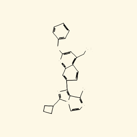 NCc1cc(Oc2ccccc2)nc2cc(-c3nc(C4CCC4)n4ccnc(N)c34)ccc12